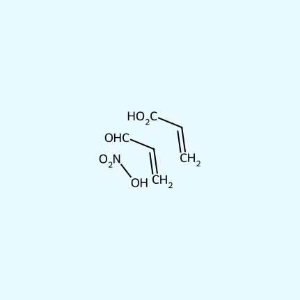 C=CC(=O)O.C=CC=O.O=[N+]([O-])O